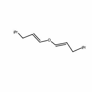 CC(C)CC=COC=CCC(C)C